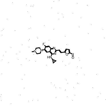 CN1CCN(c2cc3c(NC4CC4)nc(/C=C/c4ccc(N=O)o4)nc3cc2F)CC1